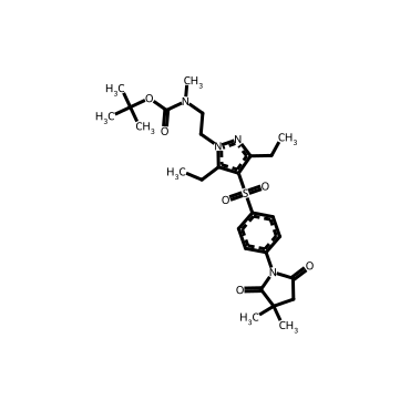 CCc1nn(CCN(C)C(=O)OC(C)(C)C)c(CC)c1S(=O)(=O)c1ccc(N2C(=O)CC(C)(C)C2=O)cc1